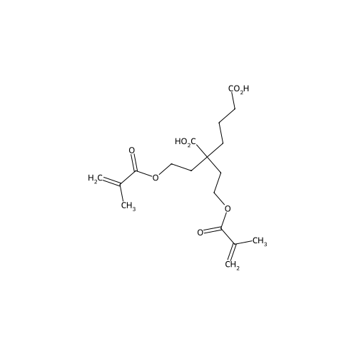 C=C(C)C(=O)OCCC(CCCC(=O)O)(CCOC(=O)C(=C)C)C(=O)O